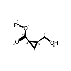 CCOC(=O)[C@@H]1C[C@@H]1CO